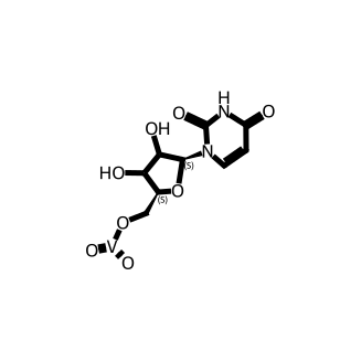 O=c1ccn([C@H]2O[C@@H](C[O][V](=[O])=[O])C(O)C2O)c(=O)[nH]1